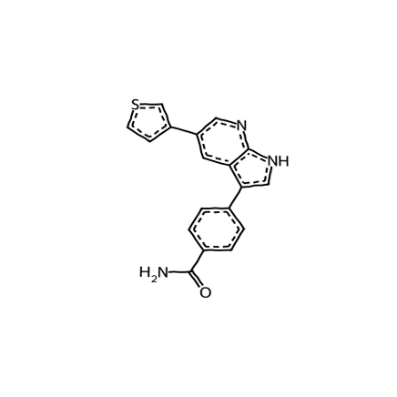 NC(=O)c1ccc(-c2c[nH]c3ncc(-c4ccsc4)cc23)cc1